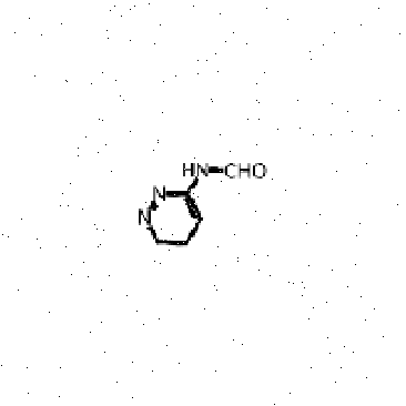 O=CNC1=CCCN=N1